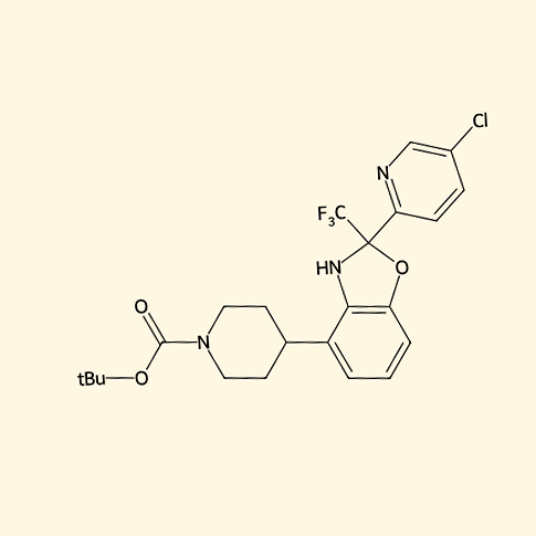 CC(C)(C)OC(=O)N1CCC(c2cccc3c2NC(c2ccc(Cl)cn2)(C(F)(F)F)O3)CC1